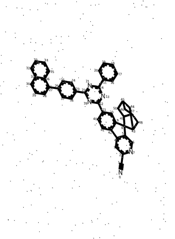 N#Cc1cc2c(cn1)C1(c3cc(-c4nc(-c5ccccc5)nc(-c5ccc(-c6cccc7ccccc67)cc5)n4)ccc3-2)C2CC3CC(C2)C1C3